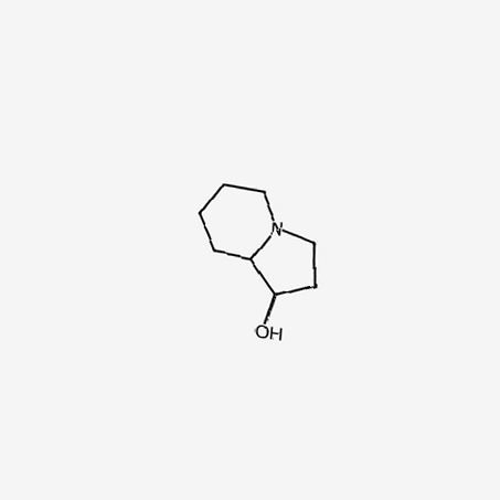 OC1CCN2CCCCC12